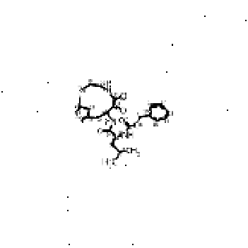 CC(C)CC(NC(=O)OCc1ccccc1)C(=O)NC1Cc2cc(sn2)CCCCNC(=O)C1=O